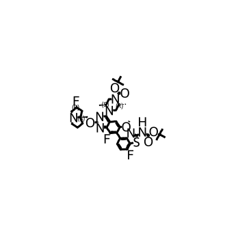 COc1cc2c(N3C[C@@H](C)N(C(=O)OC(C)(C)C)C[C@@H]3C)nc(OC[C@@]34CCCN3C[C@H](F)C4)nc2c(F)c1-c1ccc(F)c2sc(NC(=O)OC(C)(C)C)nc12